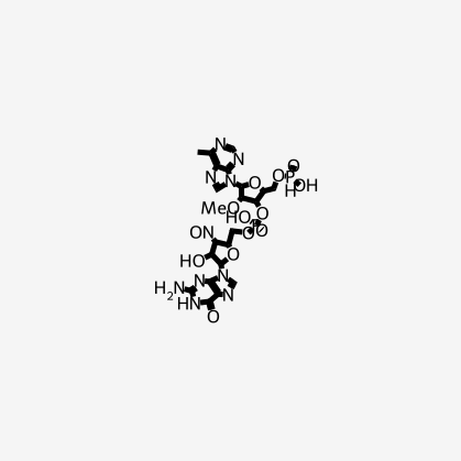 COC1C(OP(=O)(O)OCC2OC(n3cnc4c(=O)[nH]c(N)nc43)C(O)C2N=O)C(CO[PH](=O)O)OC1n1cnc2c(C)ncnc21